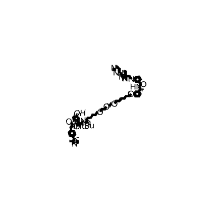 Cc1ncsc1-c1ccc(CNC(=O)[C@@H]2C[C@@H](O)CN2C(=O)[C@@H](NC(=O)CCCCCOCCOCCOCCCCCCOc2cccc([C@H](C)NC(=O)c3cccc(NCc4nnc(-c5ccncn5)n4C)c3)c2)C(C)(C)C)cc1